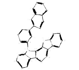 c1cc(-c2ccc3ccccc3c2)cc(-n2c3ccccc3c3ccc4c5ccccc5sc4c32)c1